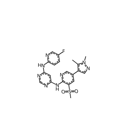 Cc1c(-c2cnc(Nc3cc(Nc4ccc(F)cn4)ncn3)c(S(C)(=O)=O)c2)cnn1C